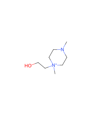 CN1CC[N+](C)(CCO)CC1